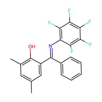 Cc1cc(C)c(O)c(C(=Nc2c(F)c(F)c(F)c(F)c2F)c2ccccc2)c1